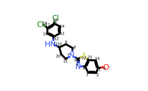 [O]c1ccc2nc(N3CCC(Nc4ccc(Cl)c(Cl)c4)CC3)sc2c1